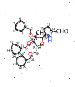 C[C@]1(OCc2ccccc2)C(c2ccc(C=O)[nH]2)O[C@H](COCc2ccccc2)[C@H]1OCc1ccccc1